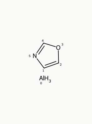 [AlH3].c1cocn1